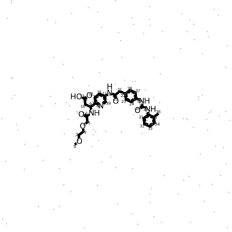 COCCOCC(=O)NC(CC(=O)O)c1ccc(NC(=O)Cc2ccc(NC(=O)Nc3ccccc3C)cc2)cn1